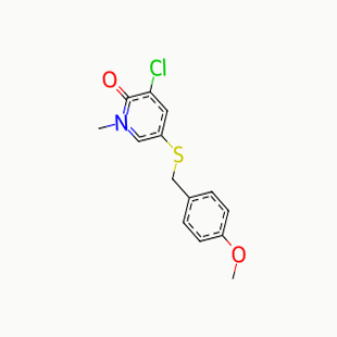 COc1ccc(CSc2cc(Cl)c(=O)n(C)c2)cc1